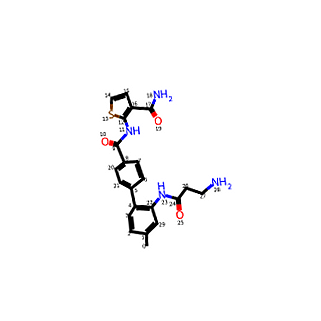 Cc1ccc(-c2ccc(C(=O)Nc3sccc3C(N)=O)cc2)c(NC(=O)CCN)c1